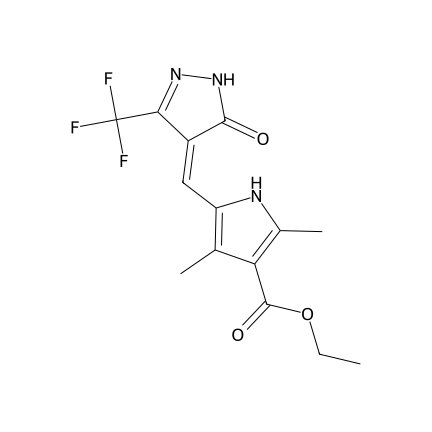 CCOC(=O)c1c(C)[nH]c(C=C2C(=O)NN=C2C(F)(F)F)c1C